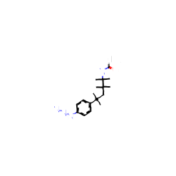 CC(C)(C)C(=O)NC(C)(C)C(C)(C)CC(C)(C)c1ccc(N=[N+]=[N-])cc1